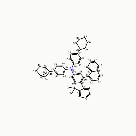 CC1(C)c2ccccc2-c2c(-c3cccc4ccccc34)cc(N(c3ccc(C4CCCCC4)cc3)c3ccc(C4CC5CCC4C5)cc3)cc21